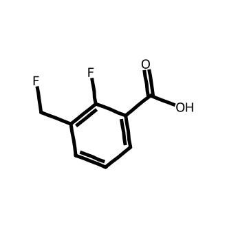 O=C(O)c1cccc(CF)c1F